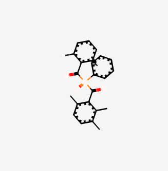 Cc1ccc(C)c(C(=O)P(=O)(C(=O)c2c(C(F)(F)F)cccc2C(F)(F)F)c2ccccc2)c1C